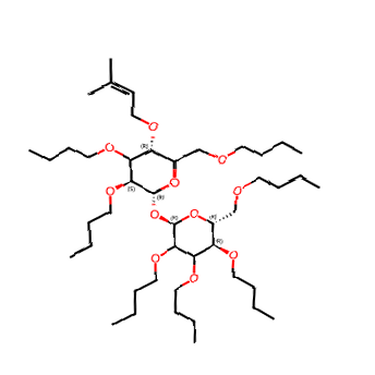 CCCCOCC1O[C@H](O[C@H]2O[C@H](COCCCC)[C@@H](OCCCC)C(OCCCC)C2OCCCC)[C@@H](OCCCC)C(OCCCC)[C@@H]1OCC=C(C)C